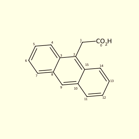 O=C(O)[CH]c1c2ccccc2cc2ccccc12